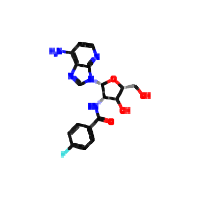 Nc1ccnc2c1ncn2[C@@H]1O[C@H](CO)C(O)[C@@H]1NC(=O)c1ccc(F)cc1